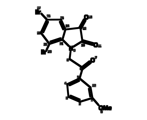 COc1cccc(C(=O)CN2C(=O)C(=O)c3cc(Br)cc(Br)c32)c1